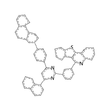 c1cc(-c2nc(-c3ccc(-c4ccc5c(ccc6ccccc65)c4)cc3)cc(-c3cccc4ccccc34)n2)cc(-c2nc3ccccc3c3sc4ccccc4c23)c1